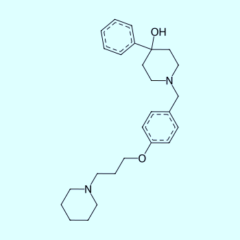 OC1(c2ccccc2)CCN(Cc2ccc(OCCCN3CCCCC3)cc2)CC1